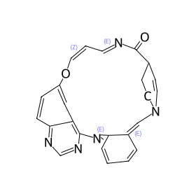 O=C1/N=C/C=C\Oc2ccc3ncnc(c3c2)/N=c2\cccc\c2=C/N2C=CC1CC2